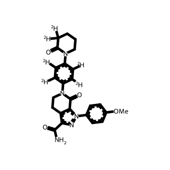 [2H]c1c([2H])c(N2CCCC([2H])([2H])C2=O)c([2H])c([2H])c1N1CCc2c(C(N)=O)nn(-c3ccc(OC)cc3)c2C1=O